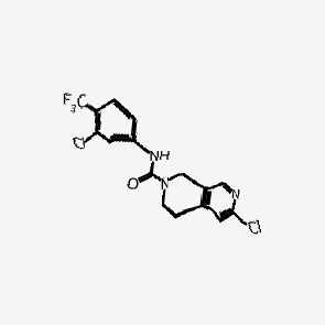 O=C(Nc1ccc(C(F)(F)F)c(Cl)c1)N1CCc2cc(Cl)ncc2C1